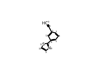 C#Cc1cccc(-c2nccs2)c1